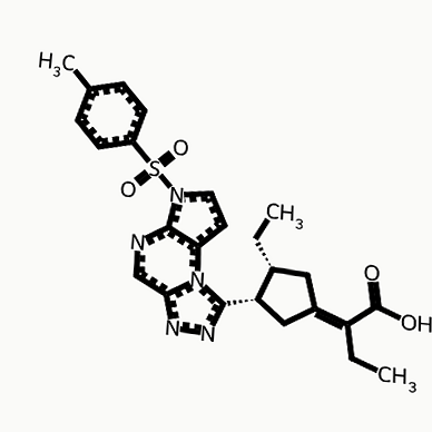 CC/C(C(=O)O)=C1/C[C@@H](CC)[C@@H](c2nnc3cnc4c(ccn4S(=O)(=O)c4ccc(C)cc4)n23)C1